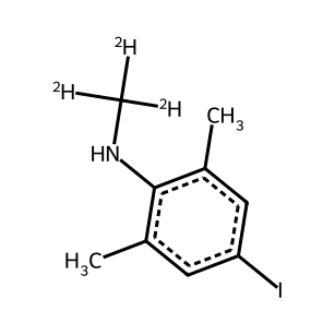 [2H]C([2H])([2H])Nc1c(C)cc(I)cc1C